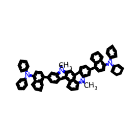 CN1c2cc(-c3ccc(N(C4=CCCC=C4)c4ccccc4)c4ccccc34)ccc2-c2cc3c(c4cccc1c24)c1ccc(-c2ccc(N(c4ccccc4)c4ccccc4)c4ccccc24)cc1n3C